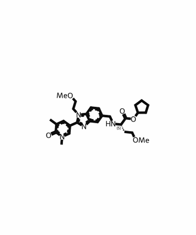 COCC[C@H](NCc1ccc2c(c1)nc(-c1cc(C)c(=O)n(C)c1)n2CCOC)C(=O)OC1CCCC1